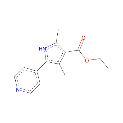 CCOC(=O)c1c(C)[nH]c(-c2ccncc2)c1C